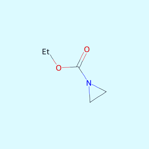 CCOC(=O)N1CC1